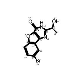 C[C@H](O)c1nc2c(oc3ccc(Br)cc32)c(=O)[nH]1